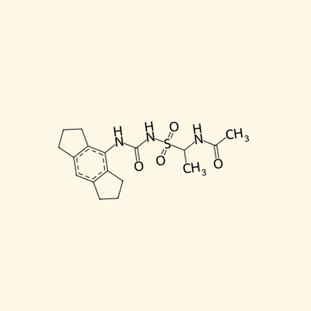 CC(=O)NC(C)S(=O)(=O)NC(=O)Nc1c2c(cc3c1CCC3)CCC2